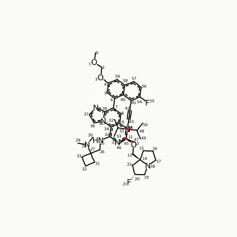 COCOc1cc(-c2cc3nc(OC[C@@]45CCCN4C[C@H](F)C5)nc(NCC4(N(C)C)CCC4)c3n3ccnc23)c2c(C#C[Si](C(C)C)(C(C)C)C(C)C)c(F)ccc2c1